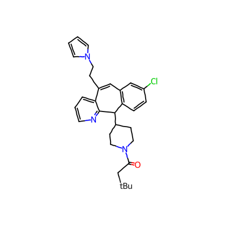 CC(C)(C)CC(=O)N1CCC(C2c3ccc(Cl)cc3C=C(CCn3cccc3)c3cccnc32)CC1